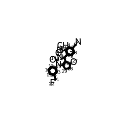 C[S+]([O-])c1cc(C#N)ccc1C1NC(=O)N(c2cccc(CF)c2)C2=C1C(=O)CC2